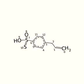 C=CCc1ccc(S(=O)(O)=S)cc1